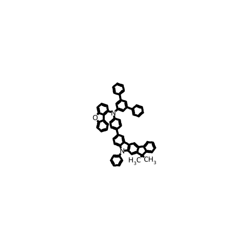 CC1(C)c2ccccc2-c2cc3c4cc(-c5ccc(N(c6cc(-c7ccccc7)cc(-c7ccccc7)c6)c6cccc7oc8ccccc8c67)cc5)ccc4n(-c4ccccc4)c3cc21